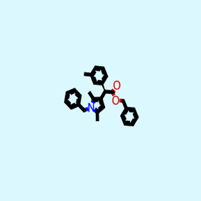 Cc1cccc([C@@H](C(=O)OCc2ccccc2)c2cc(C)n(Cc3ccccc3)c2C)c1